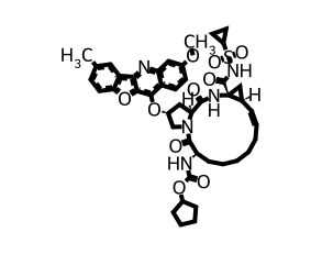 COc1ccc2c(O[C@@H]3C[C@H]4C(=O)N[C@]5(C(=O)NS(=O)(=O)C6CC6)C[C@H]5/C=C\CCCCC[C@H](NC(=O)OC5CCCC5)C(=O)N4C3)c3oc4ccc(C)cc4c3nc2c1